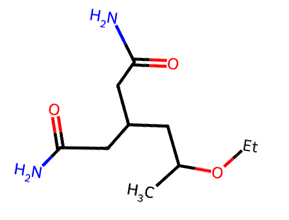 CCOC(C)CC(CC(N)=O)CC(N)=O